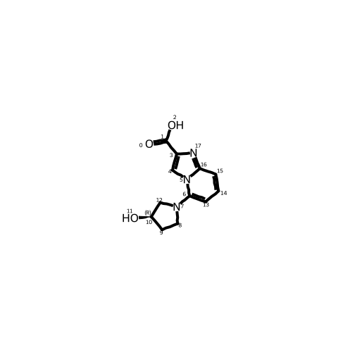 O=C(O)c1cn2c(N3CC[C@@H](O)C3)cccc2n1